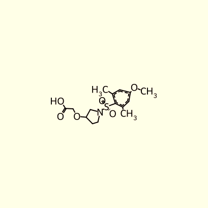 COc1cc(C)c(S(=O)(=O)N2CCC(OCC(=O)O)C2)c(C)c1